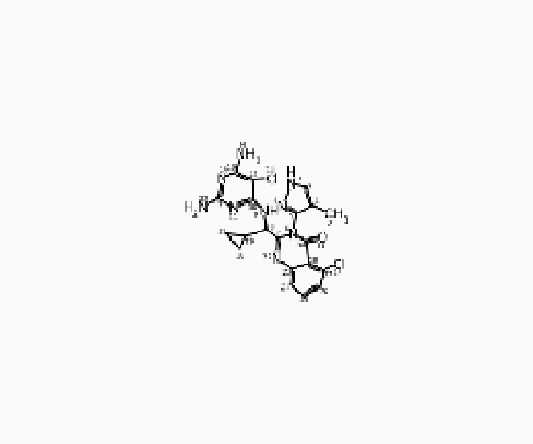 Cc1c[nH]nc1-n1c(C(Nc2nc(N)nc(N)c2Cl)C2CC2)nc2cccc(Cl)c2c1=O